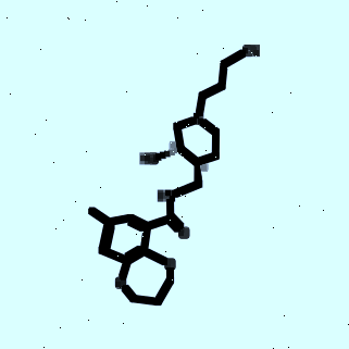 Cc1cc2c(c(C(=O)NC[C@@H]3CCN(CCCC#N)C[C@H]3O)c1)OCCCO2